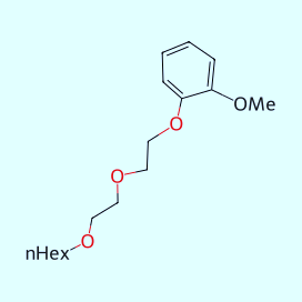 CCCCCCOCCOCCOc1ccccc1OC